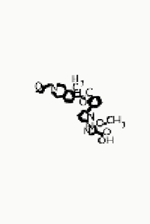 CCOc1c(C(=O)O)cnn1-c1cccc(-c2cccc(C)c2OCc2ccc3c(c2C)CCN(CC2CCO2)CC3)n1